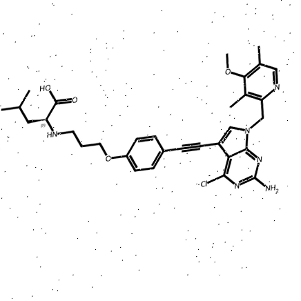 COc1c(C)cnc(Cn2cc(C#Cc3ccc(OCCCN[C@@H](CC(C)C)C(=O)O)cc3)c3c(Cl)nc(N)nc32)c1C